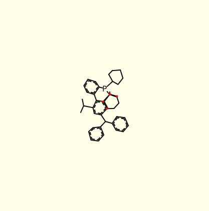 CC(C)c1cc(C(c2ccccc2)c2ccccc2)cc(C(C)C)c1-c1ccccc1P(C1CCCCC1)C1CCCCC1